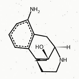 Nc1cccc2c1C[C@H]1NCC[C@@]23CCCC[C@@]13O